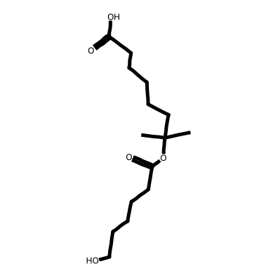 CC(C)(CCCCCC(=O)O)OC(=O)CCCCCO